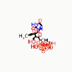 CC#CC1(O)C(CO)[C@@H]([C@@H](C)OP(=O)(O)OP(=O)(O)OP(=O)(O)O)O[C@H]1n1ncc(=O)[nH]c1=O